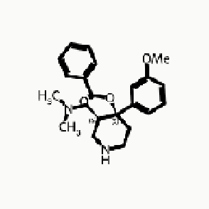 COc1cccc([C@]2(OC(=O)c3ccccc3)CCNC[C@H]2CN(C)C)c1